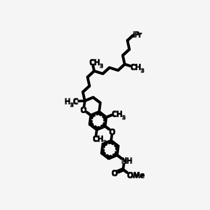 COC(=O)Nc1cccc(Oc2c(C)cc3c(c2C)CCC(C)(CCCC(C)CCCC(C)CCCC(C)C)O3)c1